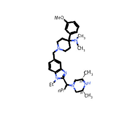 CCCC(c1nc2cc(CN3CCC(c4cccc(OC)c4)(N(C)C)CC3)ccc2n1CC)N1C[C@@H](C)N[C@@H](C)C1